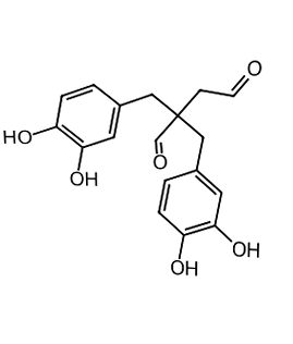 O=CCC(C=O)(Cc1ccc(O)c(O)c1)Cc1ccc(O)c(O)c1